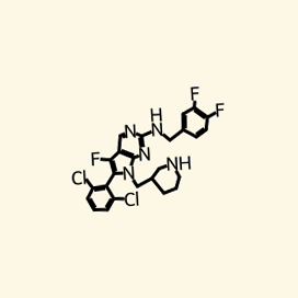 Fc1ccc(CNc2ncc3c(F)c(-c4c(Cl)cccc4Cl)n(CC4CCCNC4)c3n2)cc1F